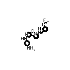 N[C@H]1CC[C@H](Nc2cc(-c3cccc(NCc4cccc(OC(F)F)c4)n3)c(Cl)cn2)CC1